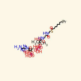 CC(C)CCCCCCC(=O)SCCNC(=O)CCNC(=O)[C@H](O)C(C)(C)COP(=O)(O)OP(=O)(O)OC[C@H]1O[C@@H](n2cnc3c(N)ncnc32)[C@H](O)[C@@H]1OP(=O)(O)O